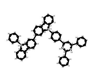 c1ccc(-c2cc(-c3ccc(-n4c5ccccc5c5ccc(-c6ccc7c8ccccc8n(-c8ccccc8)c7c6)cc54)cc3)nc(-c3ccccc3)n2)cc1